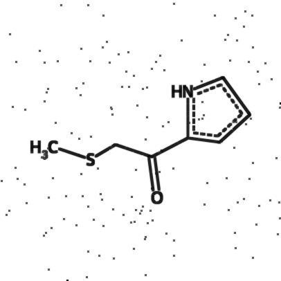 CSCC(=O)c1ccc[nH]1